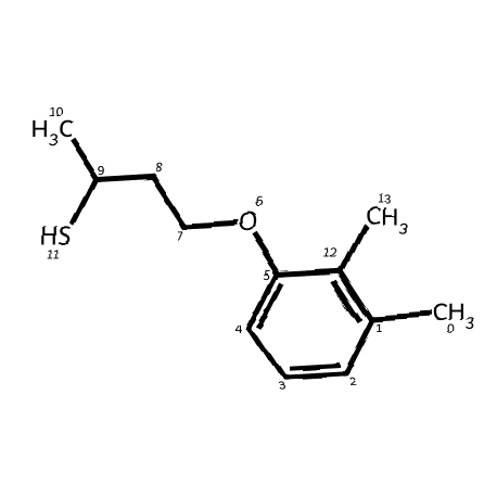 Cc1cccc(OCCC(C)S)c1C